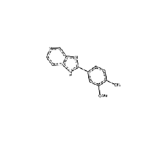 COc1cc(-c2nc3cnccc3[nH]2)ccc1O